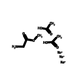 CC(=O)O.CC(=O)O.COC(=O)CN.[Na+].[Na+].[Na+]